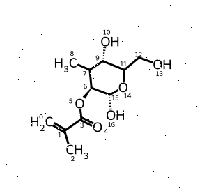 C=C(C)C(=O)O[C@H]1C(C)[C@H](O)C(CO)O[C@@H]1O